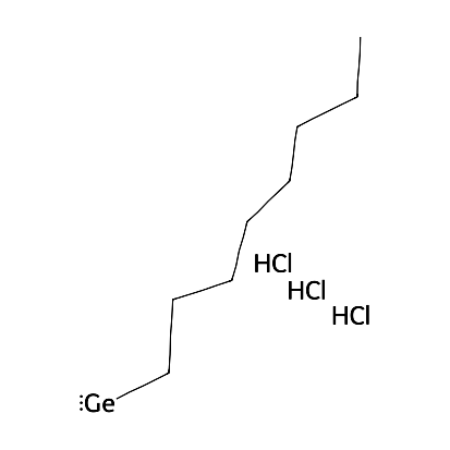 CCCCCCC[CH2][Ge].Cl.Cl.Cl